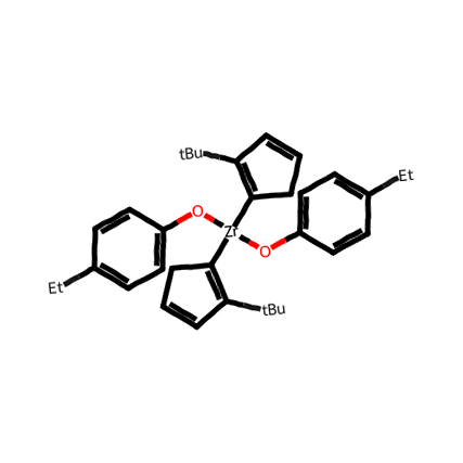 CCc1ccc([O][Zr]([O]c2ccc(CC)cc2)([C]2=C(C(C)(C)C)C=CC2)[C]2=C(C(C)(C)C)C=CC2)cc1